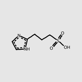 O=S(=O)(O)CCCc1ncc[nH]1